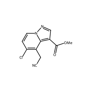 COC(=O)c1cnn2ccc(Cl)c(CC#N)c12